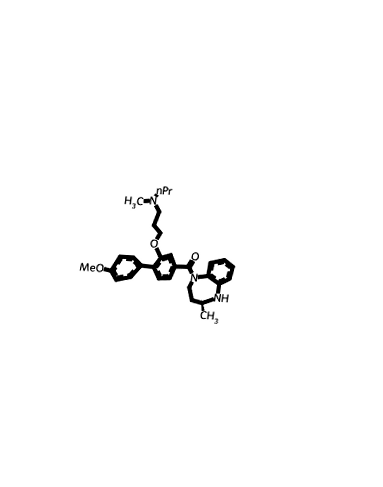 CCCN(C)CCCOc1cc(C(=O)N2CC[C@H](C)Nc3ccccc32)ccc1-c1ccc(OC)cc1